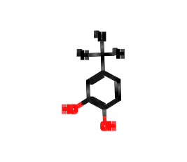 [2H]C([2H])([2H])c1ccc(O)c(O)c1